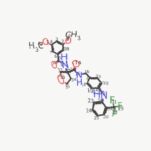 COc1cc(OC)cc(C(=O)N[C@@]2(C(=O)NCc3ccc(Nc4ccccc4C(F)(F)F)cc3)CCOC2)c1